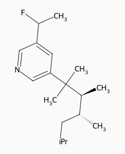 CC(C)C[C@@H](C)[C@H](C)C(C)(C)c1cncc(C(C)F)c1